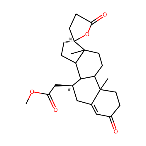 COC(=O)C[C@@H]1CC2=CC(=O)CCC2(C)C2CCC3(C)C(CC[C@@]34CCC(=O)O4)C21